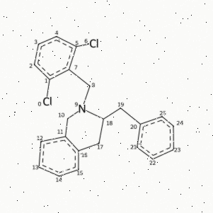 Clc1cccc(Cl)c1CN1Cc2ccccc2CC1Cc1ccccc1